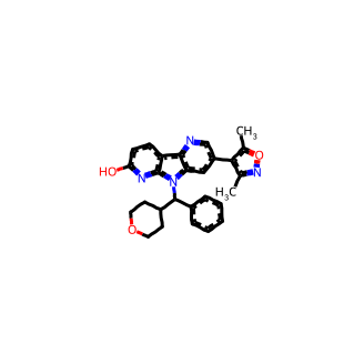 Cc1noc(C)c1-c1cnc2c3ccc(O)nc3n(C(c3ccccc3)C3CCOCC3)c2c1